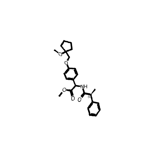 COC(=O)C(NC(=O)[C@@H](C)c1ccccc1)c1ccc(OCC2(OC)CCCC2)cc1